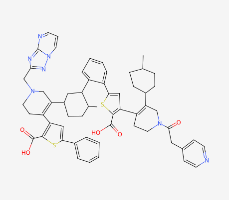 CC1CCC(C2=C(c3cc(-c4ccccc4C4CC(C5=C(c6cc(-c7ccccc7)sc6C(=O)O)CCN(Cc6nc7ncccn7n6)C5)CCC4C)sc3C(=O)O)CCN(C(=O)Cc3ccncc3)C2)CC1